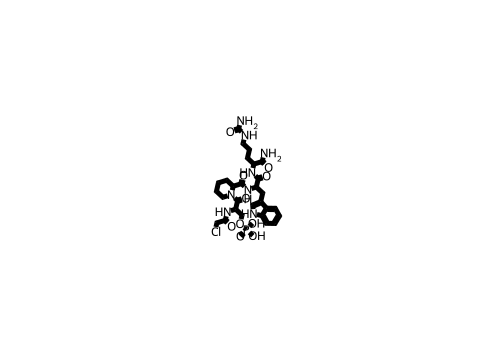 NC(=O)NCCCC(NC(=O)C(Cc1c[nH]c2ccccc12)NC(=O)C1CCCCN1C(=O)C(COP(=O)(O)O)NC(=O)CCl)C(N)=O